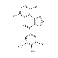 CCc1ccc(F)cc1-c1occc1C(=O)c1cc(C(F)(F)F)c(O)c(C(F)(F)F)c1